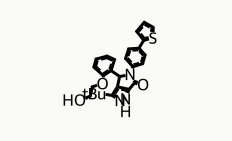 CC(C)(C)c1n[nH]c2c1C(c1ccccc1OCCO)N(c1ccc(-c3cccs3)cc1)C2=O